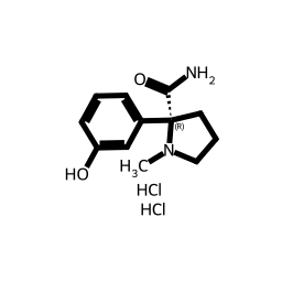 CN1CCC[C@]1(C(N)=O)c1cccc(O)c1.Cl.Cl